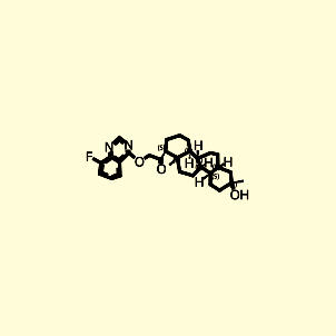 C[C@@]1(O)CC[C@H]2[C@H](CC[C@@H]3[C@@H]2CC[C@]2(C)[C@@H](C(=O)COc4ncnc5c(F)cccc45)CCC[C@@H]32)C1